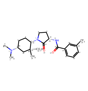 CC(C)N(C)[C@@H]1CC[C@H](N2CC[C@H](NC(=O)c3cccc(C(F)(F)F)c3)C2=O)[C@](C)(C(=O)O)C1